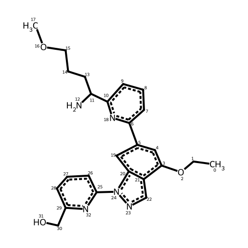 CCOc1cc(-c2cccc(C(N)CCCOC)n2)cc2c1cnn2-c1cccc(CO)n1